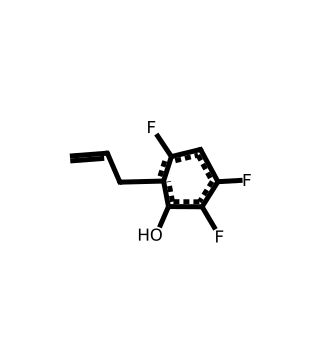 C=CCc1c(F)cc(F)c(F)c1O